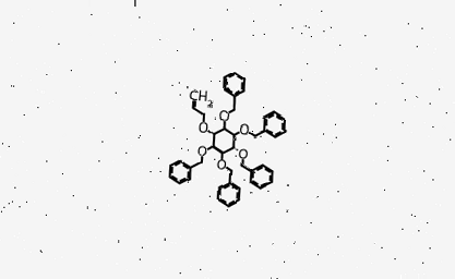 C=CCO[C@H]1C(OCc2ccccc2)C(OCc2ccccc2)[C@H](OCc2ccccc2)C(OCc2ccccc2)C1OCc1ccccc1